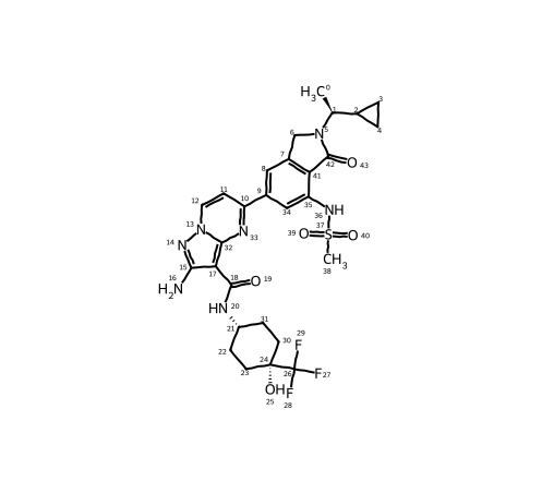 C[C@@H](C1CC1)N1Cc2cc(-c3ccn4nc(N)c(C(=O)N[C@H]5CC[C@](O)(C(F)(F)F)CC5)c4n3)cc(NS(C)(=O)=O)c2C1=O